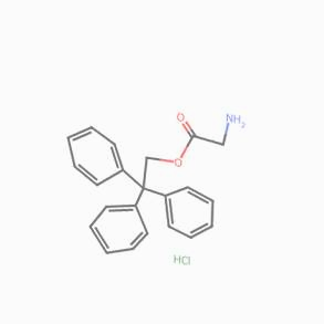 Cl.NCC(=O)OCC(c1ccccc1)(c1ccccc1)c1ccccc1